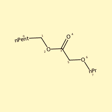 CCCCCCOC(=O)COCCC